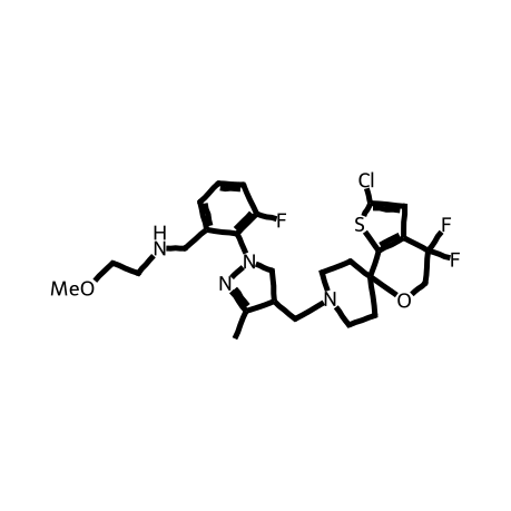 COCCNCc1cccc(F)c1N1CC(CN2CCC3(CC2)OCC(F)(F)c2cc(Cl)sc23)C(C)=N1